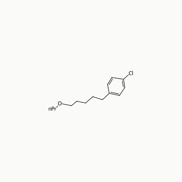 [CH2]CCOCCCCCc1ccc(Cl)cc1